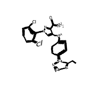 CCc1nnnn1-c1ccc(Nc2cn(-c3c(Cl)cccc3Cl)nc2C(N)=O)cc1